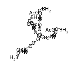 BCc1ccc(OC(C)=O)c(OCc2cn(CCCOCCOCCCOCC(COCCCOCCOCCCn3cc(COc4cc(CB)ccc4OC(C)=O)nn3)(COCCOCCn3cc(COc4cc(CB)ccc4OC(C)=O)nn3)COCCOCCn3cc(COc4cc(CB)ccc4OC(C)=O)nn3)nn2)c1